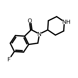 O=C1c2ccc(F)cc2CN1C1CCNCC1